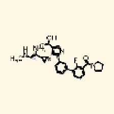 CN/C=C(\N)C1C[C@H]1c1c(C(=O)O)cnn1-c1cccc(-c2cccc(C(=O)N3CCCC3)c2F)c1